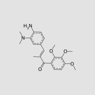 COc1ccc(C(=O)C(C)=Cc2ccc(N)c(N(C)C)c2)c(OC)c1OC